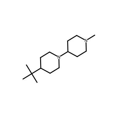 CN1CCC(N2CCC(C(C)(C)C)CC2)CC1